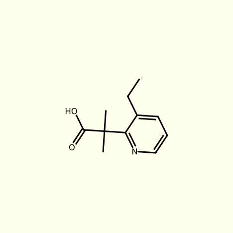 [CH2]Cc1cccnc1C(C)(C)C(=O)O